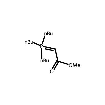 CCCCP(=CC(=O)OC)(CCCC)CCCC